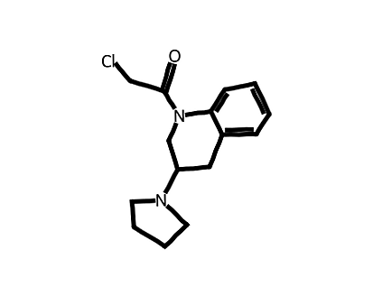 O=C(CCl)N1CC(N2CCCC2)Cc2ccccc21